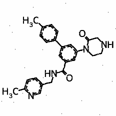 Cc1ccc(-c2cc(C(=O)NCc3ccc(C)nc3)cc(N3CCNCC3=O)c2)cc1